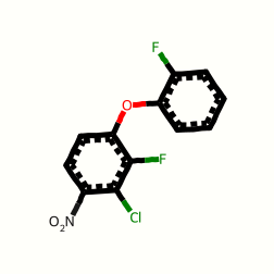 O=[N+]([O-])c1ccc(Oc2ccccc2F)c(F)c1Cl